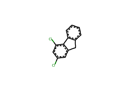 Clc1cc(Cl)c2c(c1)Cc1ccccc1-2